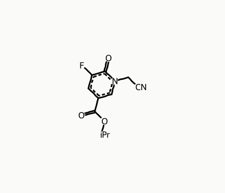 CC(C)OC(=O)c1cc(F)c(=O)n(CC#N)c1